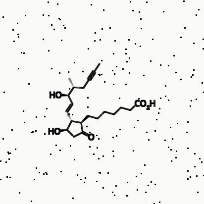 CC#CC[C@@H](C)[C@H](O)/C=C/[C@H]1[C@H](O)CC(=O)[C@@H]1CCCCCCC(=O)O